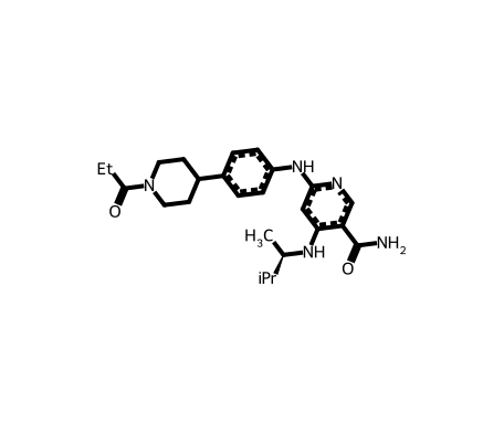 CCC(=O)N1CCC(c2ccc(Nc3cc(N[C@H](C)C(C)C)c(C(N)=O)cn3)cc2)CC1